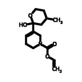 C=COC(=O)N1CCC=C(C2(O)CC(C)CCO2)C1